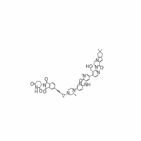 C[C@H]1CN([C@@H]2C[C@H]2C#Cc2ccc3c(c2)C(=O)N(C2CCC(=O)NC2=O)C3=O)CCN1c1ccc(Nc2cc(-c3ccnc(N4CCn5c(cc6c5CC(C)(C)C6)C4=O)c3CO)cn(C)c2=O)nc1